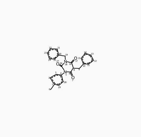 Cc1ccc(N2C(=O)C(Cc3ccccc3)C(=O)N(Cc3ccccc3)C2=O)cc1